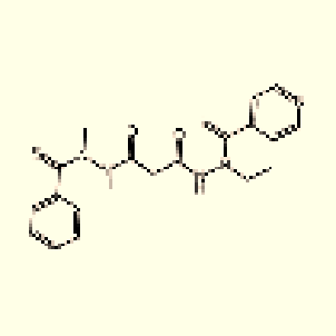 CCN(NC(=O)CC(=O)NN(C)C(=S)c1ccccc1)C(=S)c1ccncc1